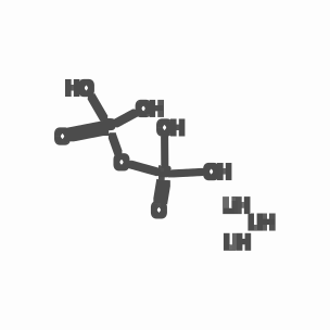 O=P(O)(O)OP(=O)(O)O.[LiH].[LiH].[LiH]